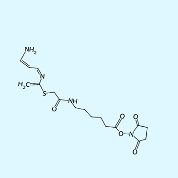 C=C(/N=C\C=C/N)SCC(=O)NCCCCCC(=O)ON1C(=O)CCC1=O